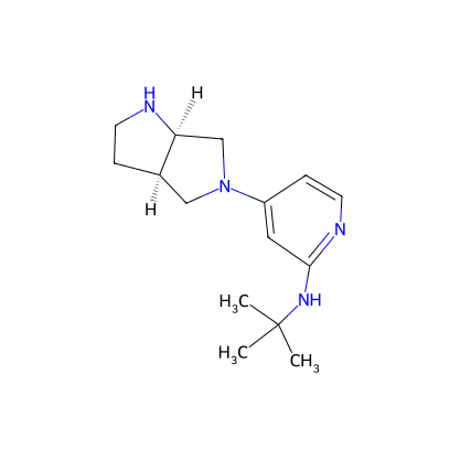 CC(C)(C)Nc1cc(N2C[C@H]3CCN[C@H]3C2)ccn1